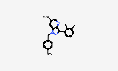 COc1ccc(Cn2nc(-c3cccc(C)c3C)c3ncc(OC)cc32)cc1